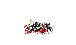 C[C@@H]1C[C@H]2[C@@H]3C[C@@H](F)C4=CC(=O)C(Br)=C[C@]4(C)[C@@]3(F)[C@@H](O)C[C@]2(C)[C@@]1(O)C(=O)C(O)c1ccccc1C(=O)O